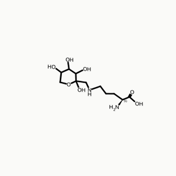 N[C@@H](CCCNCC1(O)OCC(O)C(O)C1O)C(=O)O